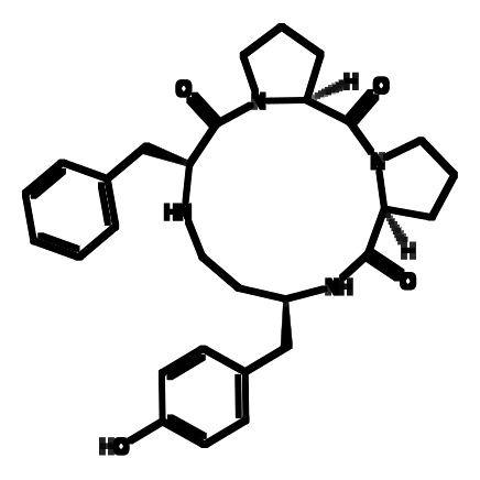 O=C1N[C@@H](Cc2ccc(O)cc2)CCN[C@@H](Cc2ccccc2)C(=O)N2CCC[C@H]2C(=O)N2CCC[C@@H]12